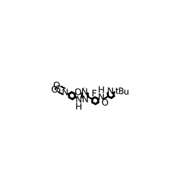 Cn1cc(-c2cccc(NC(=O)c3ccc(C(C)(C)C)nc3)c2F)nc(Nc2ccc(N3CCS(=O)(=O)CC3)cc2)c1=O